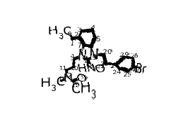 CCc1cccc2c1n(CCCN(C)C(C)=O)c(=N)n2CC(=O)c1ccc(Br)cc1